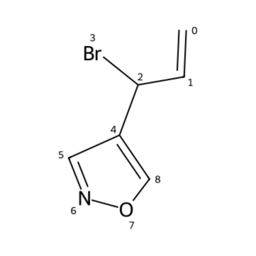 C=CC(Br)c1cnoc1